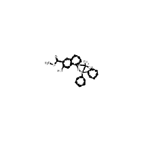 COC(=O)c1cc2cccc(O[Si](c3ccccc3)(c3ccccc3)C(C)(C)C)c2cc1O